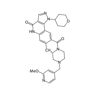 COc1cc(CN2CCN(C(=O)c3cc4c(cc3C)[nH]c(=O)c3cnn(C5CCOCC5)c34)CC2)ccn1